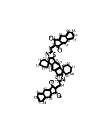 O=C1C(=Cc2nc3c(s2)-c2cc4c(cc2C32CCCCC2)-c2sc(C=C3C(=O)c5cc6ccccc6cc5C3=O)nc2C42CCCCC2)C(=O)c2cc3ccccc3cc21